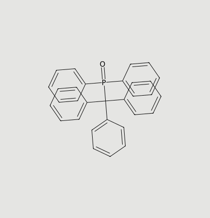 O=P(c1ccccc1)(c1ccccc1)C(c1ccccc1)(c1ccccc1)c1ccccc1